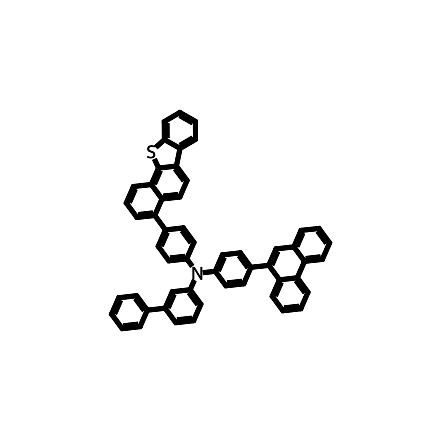 c1ccc(-c2cccc(N(c3ccc(-c4cc5ccccc5c5ccccc45)cc3)c3ccc(-c4cccc5c4ccc4c6ccccc6sc54)cc3)c2)cc1